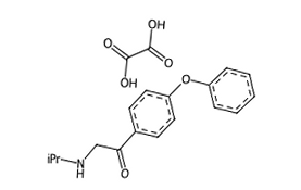 CC(C)NCC(=O)c1ccc(Oc2ccccc2)cc1.O=C(O)C(=O)O